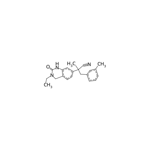 CCN1Cc2ccc(C(C)(C#N)Cc3cccc(C)c3)cc2NC1=O